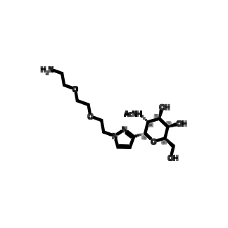 CC(=O)N[C@@H]1[C@@H](O)[C@@H](O)[C@@H](CO)O[C@@H]1c1ccn(CCOCCOCCN)n1